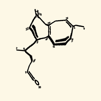 Cc1ccc2c(C(C)CC=O)c[nH]c2c1